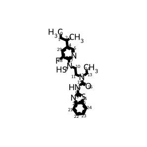 CCC(C)c1cnc(N(S)CCN(CC)C(=O)Nc2nc3ccccc3s2)c(F)c1